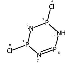 ClP1[N]P(Cl)NP=N1